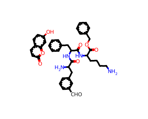 NCCCCC(NC(=O)C(Cc1ccccc1)NC(=O)C(N)Cc1cccc(C=O)c1)C(=O)OCc1ccccc1.O=c1ccc2ccc(O)cc2o1